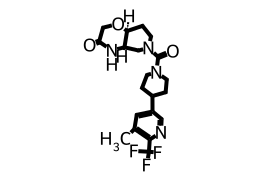 Cc1cc(C2CCN(C(=O)N3CC[C@@H]4OCC(=O)N[C@@H]4C3)CC2)cnc1C(F)(F)F